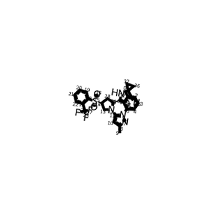 Cc1cccc(-n2nc(C)cc2N2C[C@H](S(=O)(=O)c3ccccc3C(F)(F)F)C[C@H]2C(=O)NC2(C#N)CC2)c1